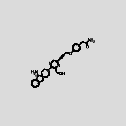 NC(=O)Cc1ccc(OCC#Cc2cnc(N3CCC4(CC3)Cc3ccccc3[C@H]4N)c(CO)n2)cc1